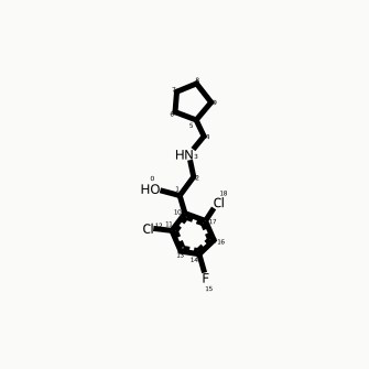 OC(CNCC1CCCC1)c1c(Cl)cc(F)cc1Cl